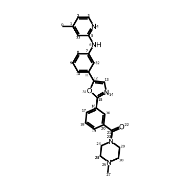 Cc1ccnc(Nc2cccc(-c3cnc(-c4cccc(C(=O)N5CCN(C)CC5)c4)o3)c2)c1